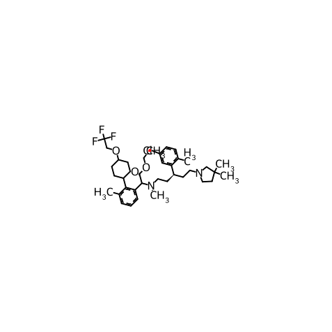 CCOC(=O)C(c1cccc(C)c1C1CCC(OCC(F)(F)F)CC1)N(C)CC[C@H](CCN1CCC(C)(C)C1)c1cc(Cl)ccc1C